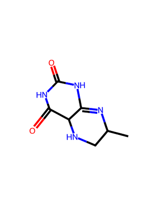 CC1CNC2C(=O)NC(=O)NC2=N1